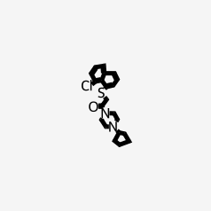 O=C(CSc1cccc2cccc(Cl)c12)N1CCN(C2CCCC2)CC1